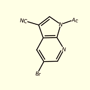 CC(=O)n1cc(C#N)c2cc(Br)cnc21